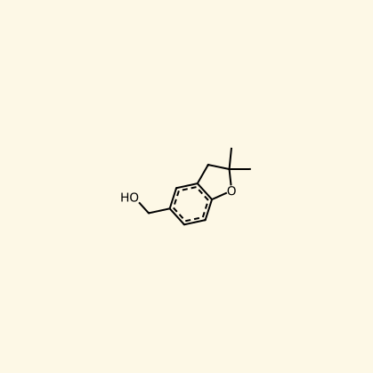 CC1(C)Cc2cc(CO)ccc2O1